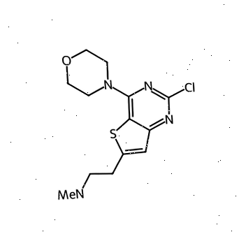 CNCCc1cc2nc(Cl)nc(N3CCOCC3)c2s1